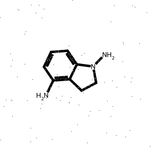 Nc1cccc2c1CCN2N